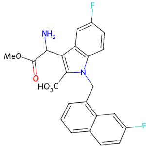 COC(=O)C(N)c1c(C(=O)O)n(Cc2cccc3ccc(F)cc23)c2ccc(F)cc12